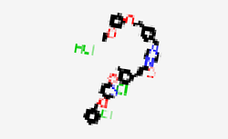 CCOc1cccc(OCCc2ccc(CN3CCN(C(=O)/C=C/c4cc(C)c(Oc5ccc(OCc6ccccc6Cl)cn5)c(Cl)c4)CC3)cc2)c1.Cl